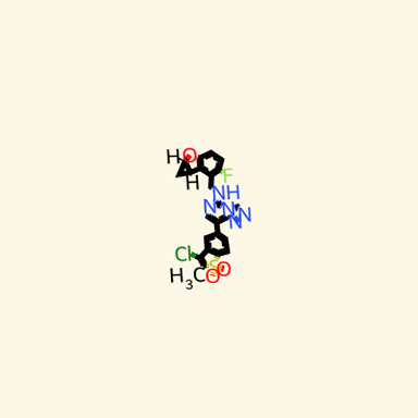 CC1=C(Cl)c2cc(-c3cnc(NCc4c(F)ccc5c4[C@H]4C[C@H]4O5)n4cnnc34)ccc2S1(=O)=O